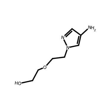 Nc1cnn(CCOCCO)c1